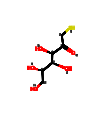 O=C(CS)[C@H](O)[C@@H](O)[C@@H](O)CO